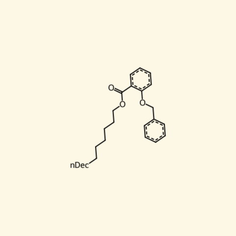 CCCCCCCCCCCCCCCCOC(=O)c1ccccc1OCc1ccccc1